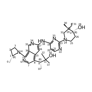 C[C@@H]1CCN1c1ncc([C@@H](C)C(C)(C)O)c2cc(Nc3ccnc(N4CC[C@@H](O)[C@@](C)(F)C4)n3)ncc12